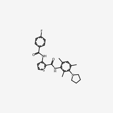 Cc1cc(C)c(N2CCCC2)c(C)c1NC(=O)c1sccc1NC(=O)c1ccc(F)cc1